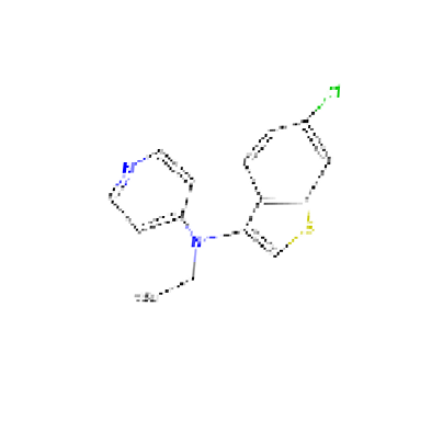 CC(C)(C)CN(c1ccncc1)c1csc2cc(Cl)ccc12